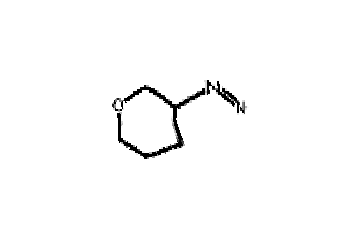 [N]=NC1CCCOC1